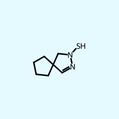 SN1CC2(C=N1)CCCC2